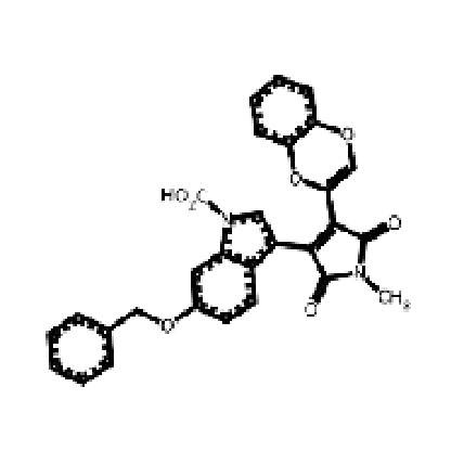 CN1C(=O)C(C2=COc3ccccc3O2)=C(c2cn(C(=O)O)c3cc(OCc4ccccc4)ccc23)C1=O